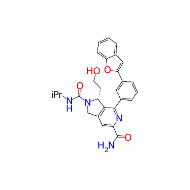 CC(C)NC(=O)N1Cc2cc(C(N)=O)nc(-c3cccc(-c4cc5ccccc5o4)c3)c2[C@H]1CCO